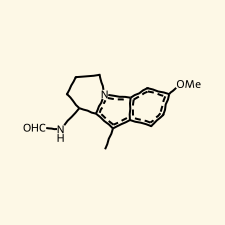 COc1ccc2c(C)c3n(c2c1)CCCC3NC=O